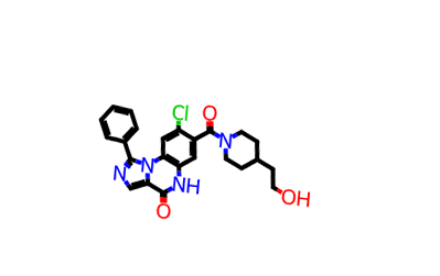 O=C(c1cc2[nH]c(=O)c3cnc(-c4ccccc4)n3c2cc1Cl)N1CCC(CCO)CC1